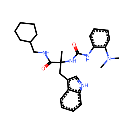 CN(C)c1ccccc1NC(=O)NC(C)(Cc1c[nH]c2ccccc12)C(=O)NCC1CCCCC1